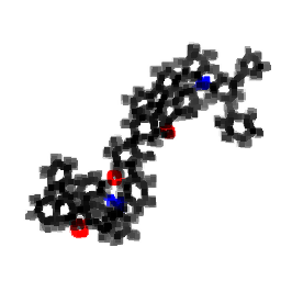 c1ccc(-c2cc(-c3ccccc3)cc(N(c3ccccc3)c3ccc4c(c3)C3(c5ccccc5-c5ccccc53)c3c-4oc4cc(-c5ccc6oc7c(N(c8ccccc8)c8ccc9c(c8)C8(c%10ccccc%10-9)c9ccccc9-c9oc%10ccccc%10c98)cccc7c6c5)ccc34)c2)cc1